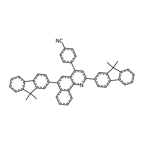 CC1(C)c2ccccc2-c2ccc(-c3cc(-c4ccc(C#N)cc4)c4cc(-c5ccc6c(c5)C(C)(C)c5ccccc5-6)c5ccccc5c4n3)cc21